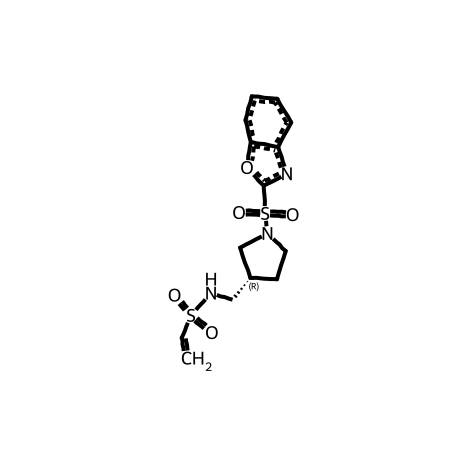 C=CS(=O)(=O)NC[C@H]1CCN(S(=O)(=O)c2nc3ccccc3o2)C1